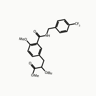 COC(=O)C(Cc1ccc(OC)c(C(=O)NCc2ccc(C(F)(F)F)cc2)c1)OCC(C)C